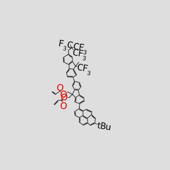 C=CC(=O)OCC1(COC(=O)C=C)c2cc(-c3ccc4c(c3)C(C)(C(F)(F)F)c3cc(CC(C(F)(F)F)(C(F)(F)F)C(F)(F)F)ccc3-4)ccc2-c2ccc(-c3ccc4ccc5cc(C(C)(C)C)cc6ccc3c4c56)cc21